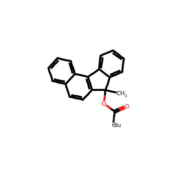 CC(C)(C)C(=O)OC1(C)c2ccccc2-c2c1ccc1ccccc21